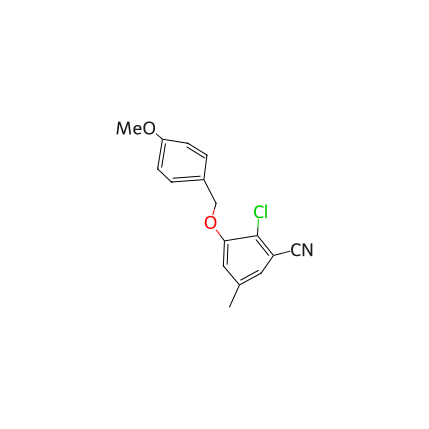 COc1ccc(COc2cc(C)cc(C#N)c2Cl)cc1